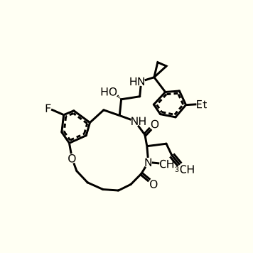 C#CCC1C(=O)NC([C@H](O)CNC2(c3cccc(CC)c3)CC2)Cc2cc(F)cc(c2)OCCCCCC(=O)N1C